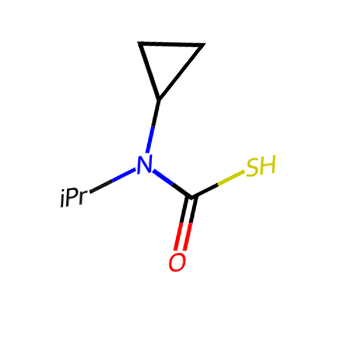 CC(C)N(C(=O)S)C1CC1